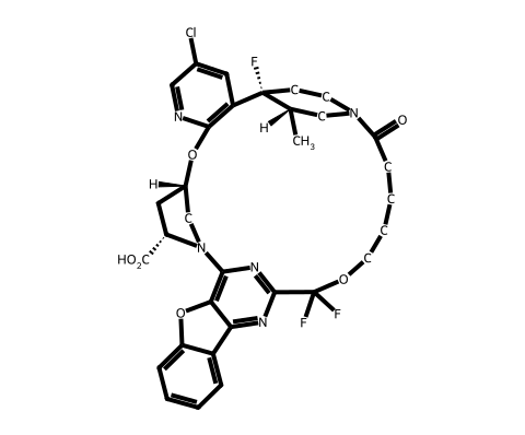 C[C@H]1CN2CC[C@]1(F)c1cc(Cl)cnc1O[C@H]1C[C@@H](C(=O)O)N(C1)c1nc(nc3c1oc1ccccc13)C(F)(F)OCCCCC2=O